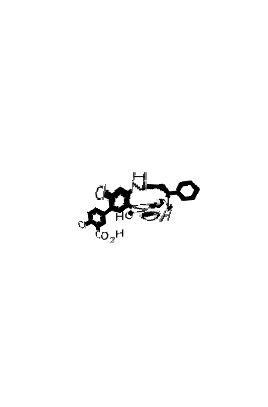 CN1C(C2CCCCC2)CNc2cc(Cl)c(-c3ccc(Cl)c(C(=O)O)c3)cc2S1(O)O